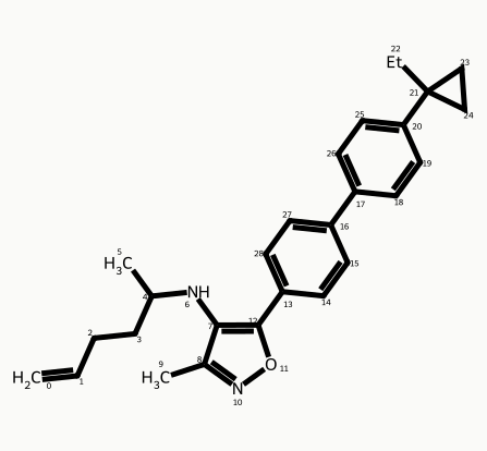 C=CCCC(C)Nc1c(C)noc1-c1ccc(-c2ccc(C3(CC)CC3)cc2)cc1